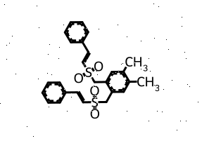 Cc1cc(CS(=O)(=O)C=Cc2ccccc2)c(CS(=O)(=O)C=Cc2ccccc2)cc1C